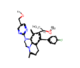 CCOCc1cnc(N2CCN3C(C)=CCc4c(-c5ccc(Cl)cc5)c([C@H](OC(C)(C)C)C(=O)O)c(C)c2c43)nc1